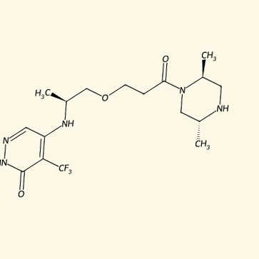 C[C@@H]1CN(C(=O)CCOC[C@H](C)Nc2cn[nH]c(=O)c2C(F)(F)F)[C@@H](C)CN1